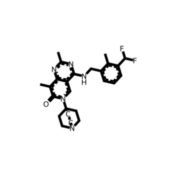 Cc1nc(NCc2cccc(C(F)F)c2C)c2cn(C34CCN(CC3)CC4)c(=O)c(C)c2n1